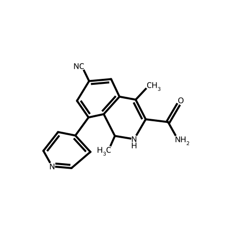 CC1=C(C(N)=O)NC(C)c2c1cc(C#N)cc2-c1ccncc1